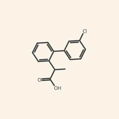 CC(C(=O)O)c1ccccc1-c1cccc(Cl)c1